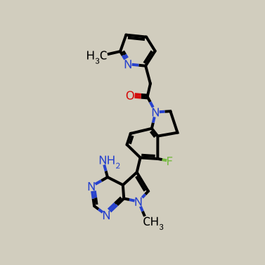 Cc1cccc(CC(=O)N2CCc3c2ccc(C2=CN(C)C4=NC=NC(N)C24)c3F)n1